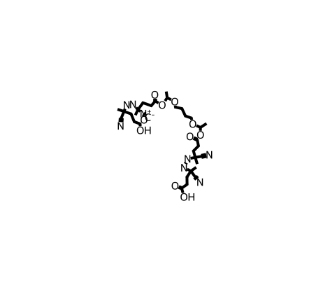 [C-]#[N+]C(C)(CCC(=O)OC(C)OCCCCOC(C)OC(=O)CCC(C)(C#N)/N=N\C(C)(C#N)CCC(=O)O)/N=N\C(C)(C#N)CCC(=O)O